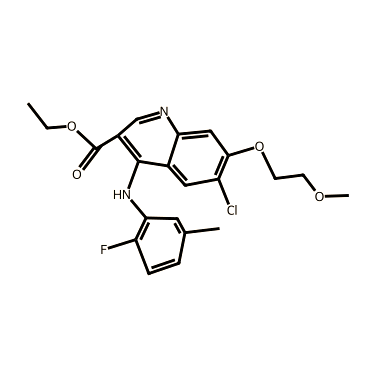 CCOC(=O)c1cnc2cc(OCCOC)c(Cl)cc2c1Nc1cc(C)ccc1F